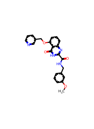 COc1cccc(CNC(=O)c2nc3cccc(OCc4cccnc4)c3c(=O)[nH]2)c1